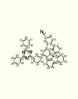 N#Cc1ccc(-c2cccc(C3(c4cccc(-c5cccc(-c6nc(-c7ccccc7)nc(-c7ccccc7)n6)c5)c4)c4ccccc4-c4ccccc43)c2)cc1